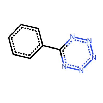 c1ccc(-c2nnnnn2)cc1